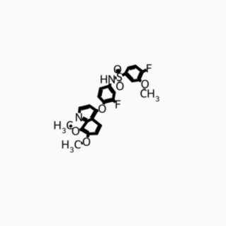 COc1cc(S(=O)(=O)Nc2ccc(Oc3ccnc4c(OC)c(OC)ccc34)c(F)c2)ccc1F